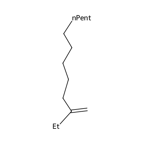 [CH2]CC(=C)CCCCCCCCCC